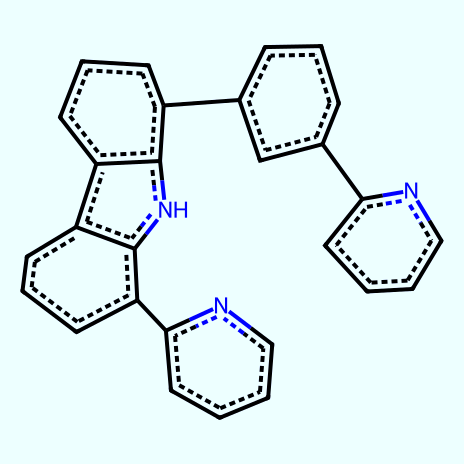 c1ccc(-c2cccc(-c3cccc4c3[nH]c3c(-c5ccccn5)cccc34)c2)nc1